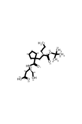 CCC[C@H](CC1(C(=O)N[C@@H](CO)CC(=O)O)CCCC1)C(=O)OC(C)(C)C